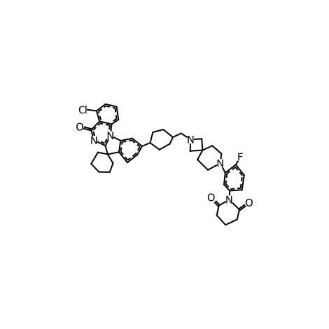 O=C1CCCC(=O)N1c1ccc(F)c(N2CCC3(CC2)CN(CC2CCC(c4ccc5c(c4)-n4c(nc(=O)c6c(Cl)cccc64)C54CCCCC4)CC2)C3)c1